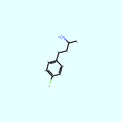 CC(N)CCc1ccc(F)cc1